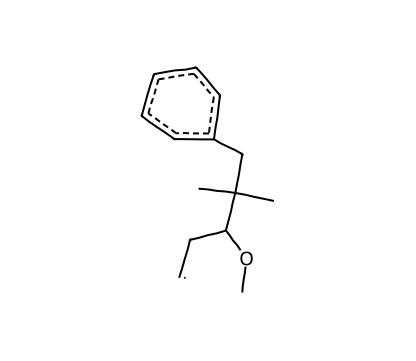 [CH2]CC(OC)C(C)(C)Cc1ccccc1